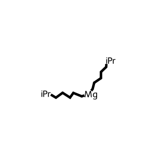 CC(C)CCCC[CH2][Mg][CH2]CCCCC(C)C